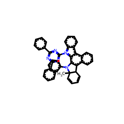 CC12C=CC=CC1c1c(c3c(c4ccccc14)c1ccccc1n3-c1nc(-c3ccccc3)nc(-c3ccccc3)n1)N2c1ccccc1